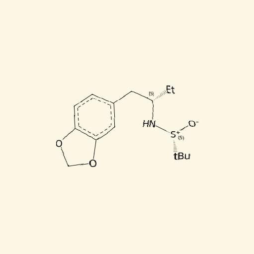 CC[C@@H](Cc1ccc2c(c1)OCO2)N[S@+]([O-])C(C)(C)C